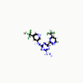 Nc1nc(Nc2cncc(C(F)(F)F)c2)nc(-c2nccc(C(F)(F)F)n2)n1